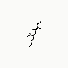 CCCCC(C/C(C)=C(\C)C=O)OC